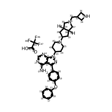 Nc1ncnc2c1c(-c1ccc(Oc3ccccc3)cc1)nn2C1CCN(C2C[C@@H]3CN(CC4CNC4)C[C@@H]3C2)CC1.O=C(O)C(F)(F)F